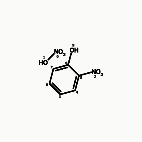 O=[N+]([O-])O.O=[N+]([O-])c1ccccc1O